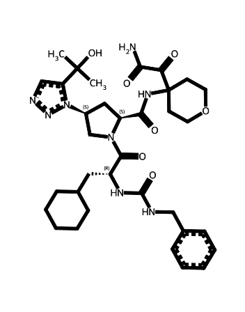 CC(C)(O)c1cnnn1[C@H]1C[C@@H](C(=O)NC2(C(=O)C(N)=O)CCOCC2)N(C(=O)[C@@H](CC2CCCCC2)NC(=O)NCc2ccccc2)C1